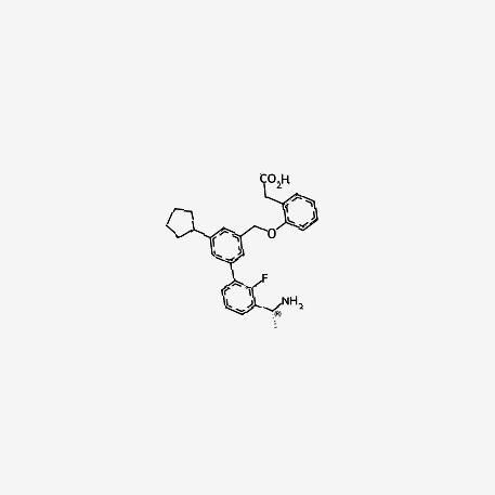 C[C@@H](N)c1cccc(-c2cc(COc3ccccc3CC(=O)O)cc(C3CCCC3)c2)c1F